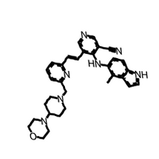 Cc1c(Nc2c(C#N)cncc2C=Cc2cccc(CN3CCC(N4CCOCC4)CC3)n2)ccc2[nH]ccc12